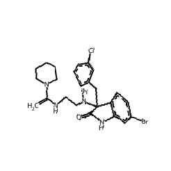 C=C(NCCN(C(C)C)C1(Cc2cccc(Cl)c2)C(=O)Nc2cc(Br)ccc21)N1CCCCC1